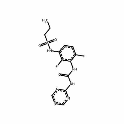 CCCS(=O)(=O)Nc1ccc(F)c(NC(=O)Nc2ncncn2)c1F